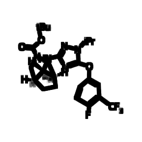 CC(C)n1nc(N[C@@H]2[C@@H]3CC[C@H]2CN(C(=O)OC(C)(C)C)C3)nc1Oc1ccc(F)c(C(F)(F)F)c1